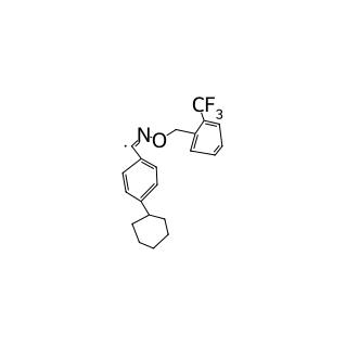 FC(F)(F)c1ccccc1CO/N=[C]\c1ccc(C2CCCCC2)cc1